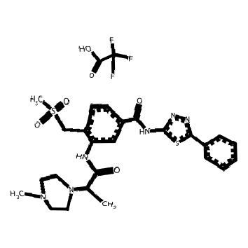 CC(C(=O)Nc1cc(C(=O)Nc2nnc(-c3ccccc3)s2)ccc1CS(C)(=O)=O)N1CCN(C)CC1.O=C(O)C(F)(F)F